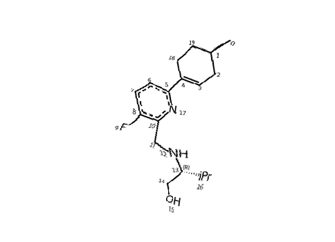 CC1CC=C(c2ccc(F)c(CN[C@@H](CO)C(C)C)n2)CC1